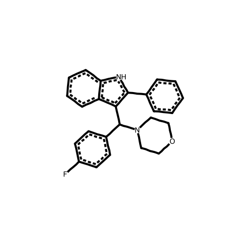 Fc1ccc(C(c2c(-c3ccccc3)[nH]c3ccccc23)N2CCOCC2)cc1